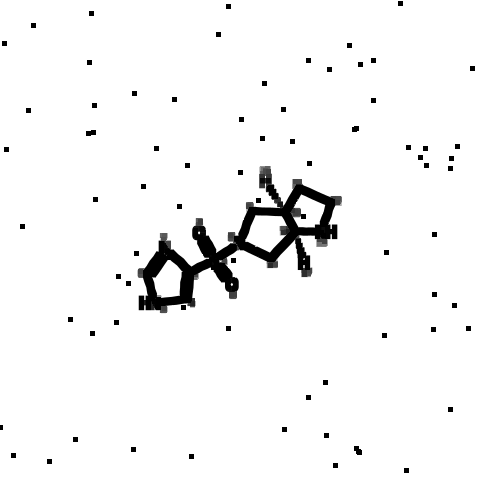 O=S(=O)(c1c[nH]cn1)N1C[C@H]2CCN[C@H]2C1